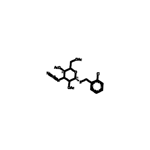 CC(=O)OCC1O[C@H](SCc2ccccc2Cl)C(OC(C)=O)C(N=[N+]=[N-])[C@H]1OC(C)=O